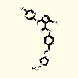 Cc1nsc(Nc2cnc(C(F)(F)F)cn2)c1C(=O)Nc1ccc(OC[C@@H]2CCN(C(=O)O)C2)nc1